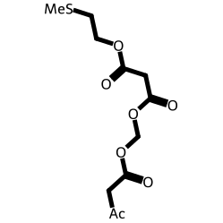 CSCCOC(=O)CC(=O)OCOC(=O)CC(C)=O